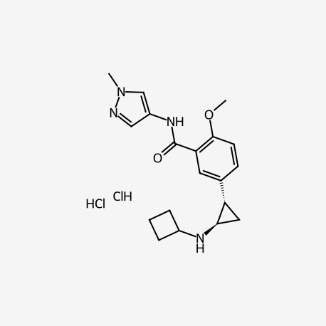 COc1ccc([C@@H]2C[C@H]2NC2CCC2)cc1C(=O)Nc1cnn(C)c1.Cl.Cl